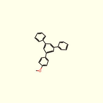 COc1ccc(-c2cc(-c3ccccc3)cc(-c3ccccc3)c2)cc1